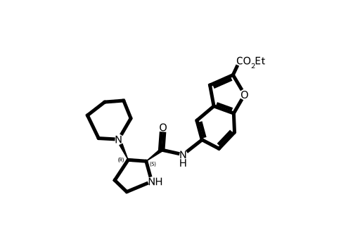 CCOC(=O)c1cc2cc(NC(=O)[C@H]3NCC[C@H]3N3CCCCC3)ccc2o1